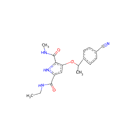 CCNC(=O)c1cc(OC(C)c2ccc(C#N)cc2)c(C(=O)NC)[nH]1